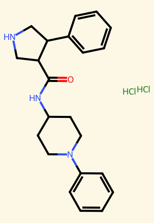 Cl.Cl.O=C(NC1CCN(c2ccccc2)CC1)C1CNCC1c1ccccc1